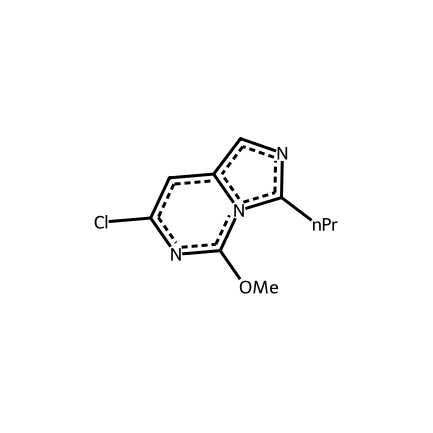 CCCc1ncc2cc(Cl)nc(OC)n12